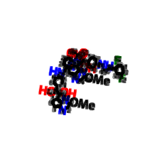 COc1cnc2cccc([C@@H](O)[C@@H](O)[C@H]3CC[C@H](NCc4ccc5c(n4)N(C(O)(c4cccc6ncc(OC)nc46)C(O)[C@H]4CC[C@H](NC/C=C/c6cc(F)ccc6F)CC4)C(=O)CO5)CC3)c2n1